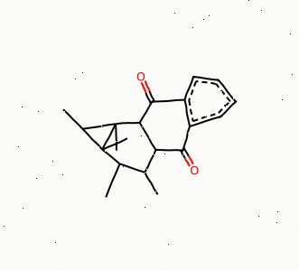 CC1C2C(=O)c3ccccc3C(=O)C2C2(C)C(C)C2(C)C1C